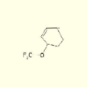 FC(F)(F)OC1C=C[CH]CC1